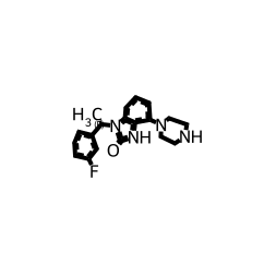 C[C@H](c1cccc(F)c1)n1c(=O)[nH]c2c(N3CCNCC3)cccc21